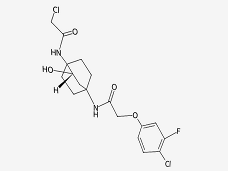 O=C(COc1ccc(Cl)c(F)c1)NC12CCC(NC(=O)CCl)(CC1)[C@@H](O)C2